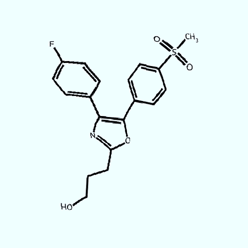 CS(=O)(=O)c1ccc(-c2oc(CCCO)nc2-c2ccc(F)cc2)cc1